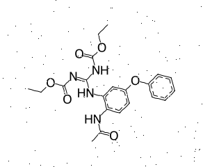 CCOC(=O)/N=C(/NC(=O)OCC)Nc1cc(Oc2ccccc2)ccc1NC(C)=O